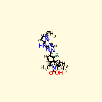 Cc1c(C(C)N(C(=O)O)C(C)(C)C)ccc(-c2ncnc(Nc3ccn(C)n3)n2)c1F